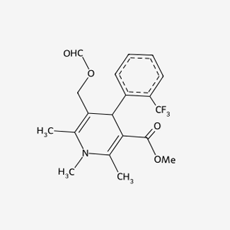 COC(=O)C1=C(C)N(C)C(C)=C(COC=O)C1c1ccccc1C(F)(F)F